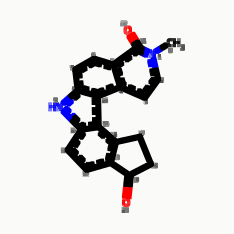 Cn1ccc2c(ccc3[nH]c4ccc5c(c4c32)CCC5=O)c1=O